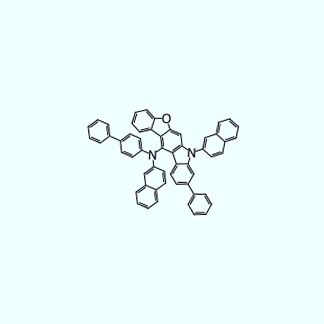 c1ccc(-c2ccc(N(c3ccc4ccccc4c3)c3c4c(cc5c3c3ccc(-c6ccccc6)cc3n5-c3ccc5ccccc5c3)oc3ccccc34)cc2)cc1